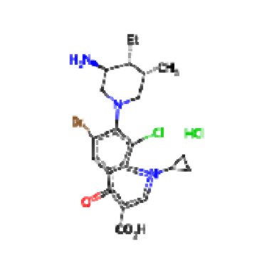 CC[C@@H]1[C@H](C)CN(c2c(Br)cc3c(=O)c(C(=O)O)cn(C4CC4)c3c2Cl)C[C@H]1N.Cl